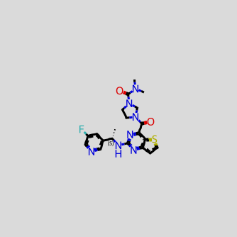 C[C@H](Nc1nc(C(=O)N2CCN(C(=O)N(C)C)C2)c2sccc2n1)c1cncc(F)c1